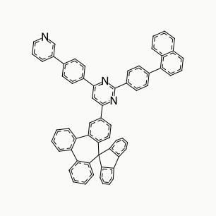 c1cncc(-c2ccc(-c3cc(-c4ccc5c(c4)-c4ccccc4-c4ccccc4C54c5ccccc5-c5ccccc54)nc(-c4ccc(-c5cccc6ccccc56)cc4)n3)cc2)c1